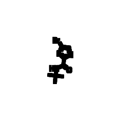 CC(C)(C)NC(=O)c1ncc(Br)s1